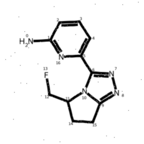 Nc1cccc(-c2nnc3n2C(CF)CC3)n1